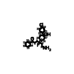 NCCC(F)(CCC(=O)c1ccccc1)N1CCC(O)(c2ccc(Cl)cc2)CC1